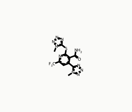 Cn1nnnc1Sc1nc(C(F)(F)F)cc(-c2nnnn2C)c1C(N)=O